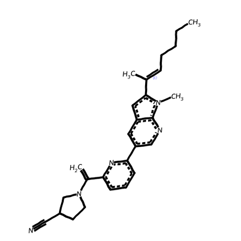 C=C(c1cccc(-c2cnc3c(c2)cc(/C(C)=C/CCCC)n3C)n1)N1CCC(C#N)C1